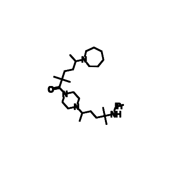 CC(C)NC(C)(C)CCC(C)N1CCN(C(=O)C(C)(C)CCC(C)N2CCCCCC2)CC1